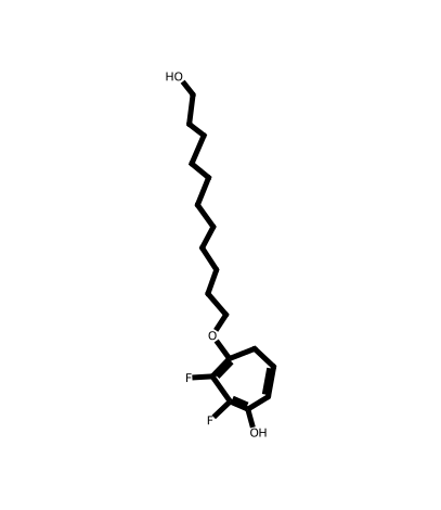 OCCCCCCCCCCCOC1=C(F)C(F)=C(O)C=CC1